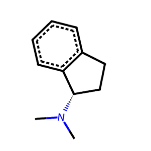 CN(C)[C@H]1CCc2ccccc21